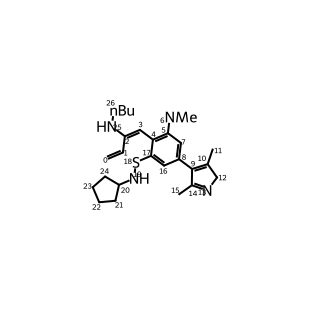 C=C/C(=C\c1c(NC)cc(C2=C(C)CN=C2C)cc1SNC1CCCC1)NCCCC